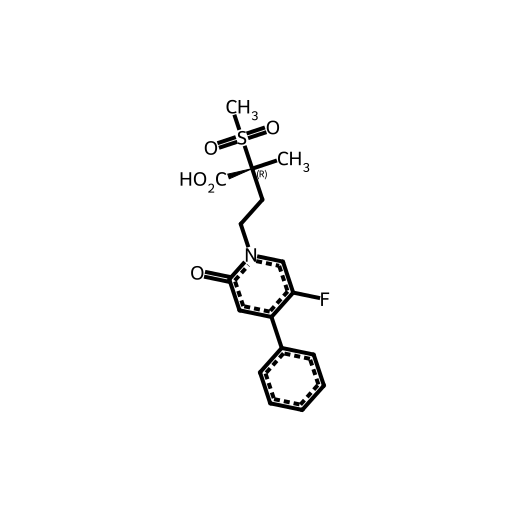 C[C@@](CCn1cc(F)c(-c2ccccc2)cc1=O)(C(=O)O)S(C)(=O)=O